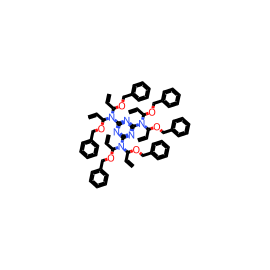 C=CC(OCc1ccccc1)N(c1nc(N(C(C=C)OCc2ccccc2)C(C=C)OCc2ccccc2)nc(N(C(C=C)OCc2ccccc2)C(C=C)OCc2ccccc2)n1)C(C=C)OCc1ccccc1